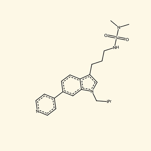 CC(C)Cn1cc(CCCNS(=O)(=O)N(C)C)c2ccc(-c3ccncc3)cc21